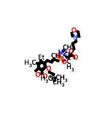 CCc1c(C)c2c(c(OCC[Si](C)(C)C)c1C/C=C(\C)CP(=O)(N[C@@H](C)C(=O)OCCCN1CCOCC1)ON=C(C)C)C(=O)OC2